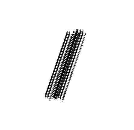 [SiH3][SiH2][SiH2][SiH2][SiH2][SiH2][SiH2][SiH2][SiH2][SiH2][SiH2][SiH2][SiH2][SiH2][SiH2][SiH2][SiH2][SiH2][SiH2][SiH2][SiH2][SiH2][SiH2][SiH2][SiH2][SiH2][SiH2][SiH2][SiH2][SiH2][SiH2][SiH2][SiH2][SiH2][SiH2][SiH2][SiH2][SiH2][SiH2][SiH2][SiH2][SiH2][SiH2][SiH2][SiH2][SiH2][SiH2][SiH2][SiH2][SiH2][SiH2][SiH2][SiH2][SiH2][SiH2][SiH2][SiH2][SiH2][SiH2][SiH2][SiH2][SiH2][SiH2][SiH2][SiH2][SiH2][SiH2][SiH2][SiH2][SiH2][SiH2][SiH2][SiH2][SiH2][SiH2][SiH2][SiH2][SiH2][SiH2][SiH2][SiH2][SiH2][SiH2][SiH2][SiH2][SiH3]